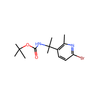 Cc1nc(Br)ccc1C(C)(C)NC(=O)OC(C)(C)C